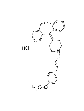 COc1ccc(C=CCN2CCC(=C3c4ccccc4C=Cc4ccccc43)CC2)cc1.Cl